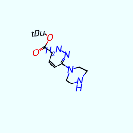 CC(C)(C)OC(=O)C/C=C\C(=N/N)N1CCNCC1